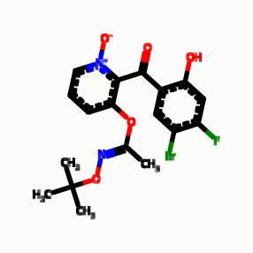 CC(=NOC(C)(C)C)Oc1ccc[n+]([O-])c1C(=O)c1cc(Br)c(F)cc1O